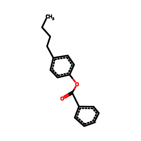 CCCCc1ccc(OC(=O)c2cc[c]cc2)cc1